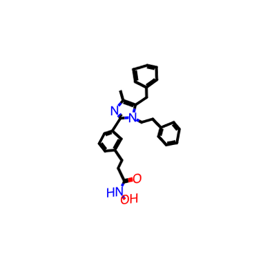 Cc1nc(-c2cccc(CCC(=O)NO)c2)n(CCc2ccccc2)c1Cc1ccccc1